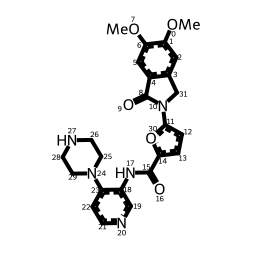 COc1cc2c(cc1OC)C(=O)N(c1ccc(C(=O)Nc3cnccc3N3CCNCC3)o1)C2